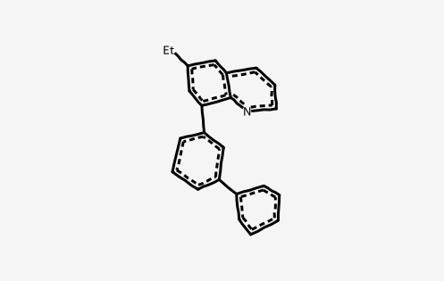 CCc1cc(-c2cccc(-c3ccccc3)c2)c2ncccc2c1